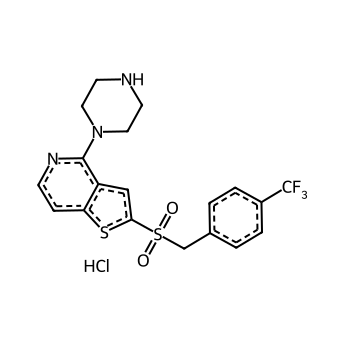 Cl.O=S(=O)(Cc1ccc(C(F)(F)F)cc1)c1cc2c(N3CCNCC3)nccc2s1